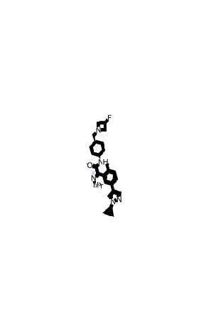 CCC/N=C(/C(=O)N[C@H]1CC[C@H](CN2CC(F)C2)CC1)c1cc(-c2cnn(C3CC3)c2)ccc1C